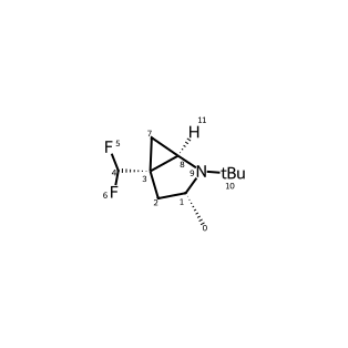 C[C@@H]1C[C@@]2(C(F)F)C[C@H]2N1C(C)(C)C